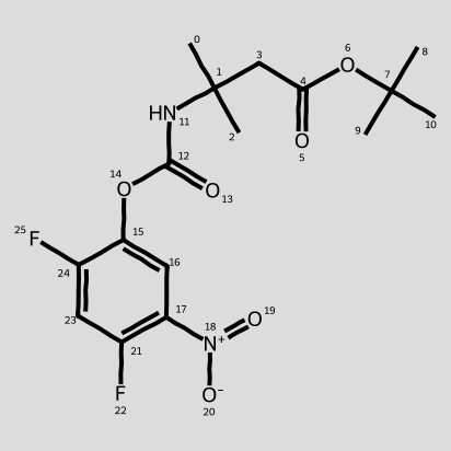 CC(C)(CC(=O)OC(C)(C)C)NC(=O)Oc1cc([N+](=O)[O-])c(F)cc1F